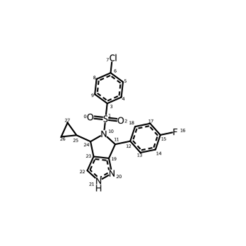 O=S(=O)(c1ccc(Cl)cc1)N1C(c2ccc(F)cc2)c2n[nH]cc2C1C1CC1